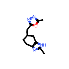 Cc1nc2c([nH]1)CC(Cc1nnc(C)o1)CC2